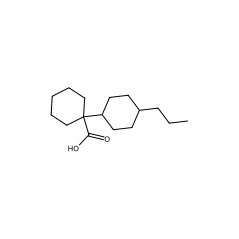 CCCC1CCC(C2(C(=O)O)CCCCC2)CC1